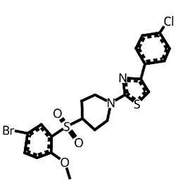 COc1ccc(Br)cc1S(=O)(=O)C1CCN(c2nc(-c3ccc(Cl)cc3)cs2)CC1